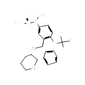 CN(c1ccc(OC(F)(F)F)c(CN[C@H]2CCCN[C@H]2c2ccccc2)c1)S(C)(=O)=O